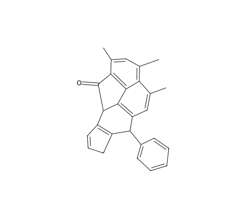 Cc1cc(C)c2c(C)cc3c4c2c1C(=O)C4C1=C(CC=C1)C3c1ccccc1